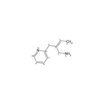 C/C=C(\CN)Cc1ccccn1